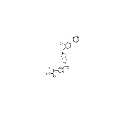 CC(=O)N(C)c1cnn(C(=O)N2CC3CN(Cc4ccc(-c5ccncn5)cc4Cl)CC3C2)c1